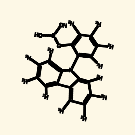 [2H]c1c([2H])c([2H])c(-n2c3c([2H])c([2H])c([2H])c([2H])c3c3c([2H])c([2H])c([2H])c([2H])c32)c(OB(O)O)c1[2H]